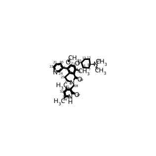 COc1c(O[C@H]2CC[C@H](N(C)C)CC2)c(C)c2c(c1-c1cccnc1)CCN(Cc1c(C)cc(C)[nH]c1=O)C2=O